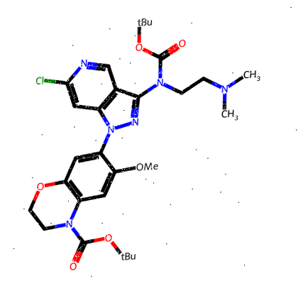 COc1cc2c(cc1-n1nc(N(CCN(C)C)C(=O)OC(C)(C)C)c3cnc(Cl)cc31)OCCN2C(=O)OC(C)(C)C